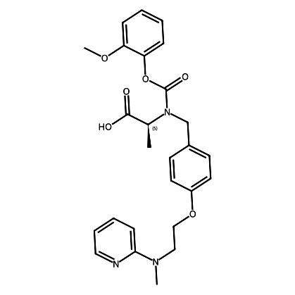 COc1ccccc1OC(=O)N(Cc1ccc(OCCN(C)c2ccccn2)cc1)[C@@H](C)C(=O)O